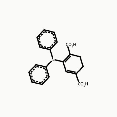 O=C(O)C1=CC(N(c2ccccc2)c2ccccc2)=C(C(=O)O)CC1